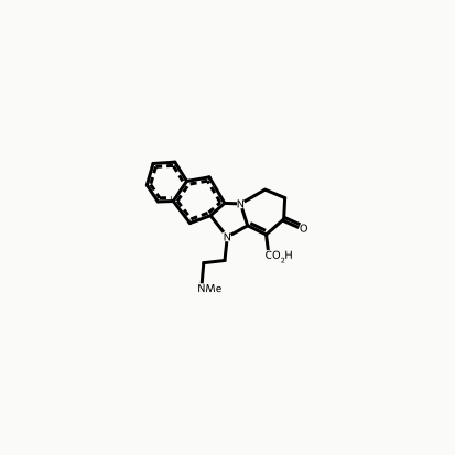 CNCCN1C2=C(C(=O)O)C(=O)CCN2c2cc3ccccc3cc21